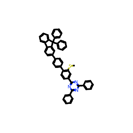 CSc1cc(-c2nc(-c3ccccc3)nc(-c3ccccc3)n2)ccc1-c1ccc(-c2ccc3c(c2)C(c2ccccc2)(c2ccccc2)c2ccccc2-3)cc1